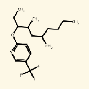 CCCCC(C)CC(C)C(CC)Oc1ccc(C(F)(F)F)cn1